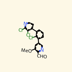 COc1cc(-c2cccc(-c3ccnc(Cl)c3Cl)c2Cl)cnc1C=O